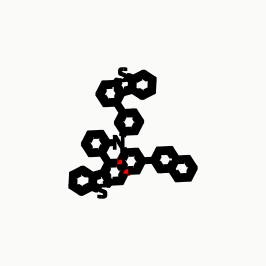 c1cc(-c2ccc3ccccc3c2)cc(N(c2cccc(-c3cccc4sc5ccccc5c34)c2)c2ccccc2-c2cccc3sc4ccccc4c23)c1